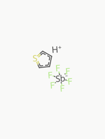 [F][Sb-]([F])([F])([F])([F])[F].[H+].c1ccsc1